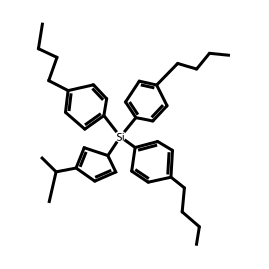 CCCCc1ccc([Si]([C]2C=CC(C(C)C)=C2)(c2ccc(CCCC)cc2)c2ccc(CCCC)cc2)cc1